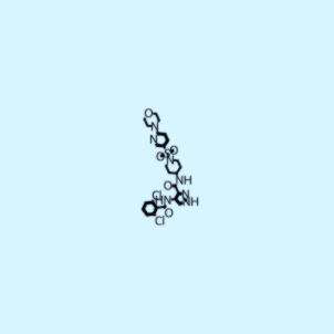 O=C(NC1CCN(S(=O)(=O)c2ccc(N3CCOCC3)nc2)CC1)c1n[nH]cc1NC(=O)c1c(Cl)cccc1Cl